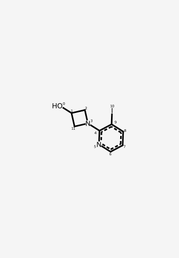 OC1CN(c2ncccc2I)C1